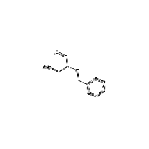 C=CC(COC(C)=O)OCc1ccccc1